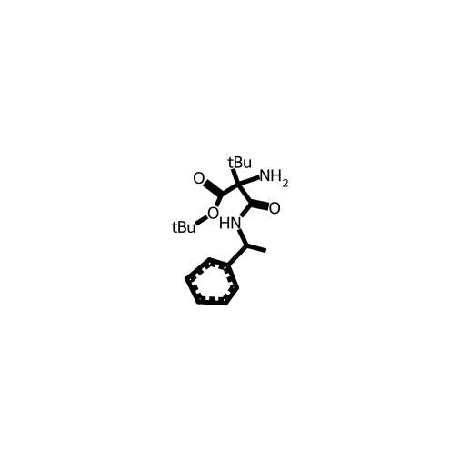 CC(NC(=O)C(N)(C(=O)OC(C)(C)C)C(C)(C)C)c1ccccc1